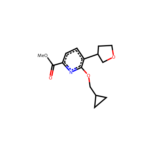 COC(=O)c1ccc(C2CCOC2)c(OCC2CC2)n1